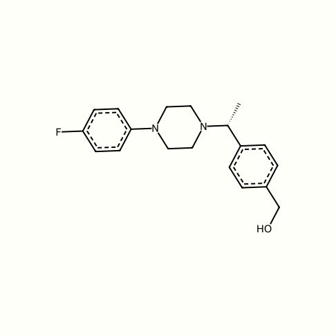 C[C@H](c1ccc(CO)cc1)N1CCN(c2ccc(F)cc2)CC1